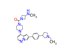 CCN1CCC(c2ccc(-c3cc4c(N5CCN(C(=O)N6CC(NC)C6)CC5)ccnn4c3)cc2)C1